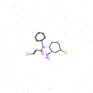 N[C@@H]1CC(Cl)CCC[C@H]1N(C(=O)C=CCl)c1ccccc1